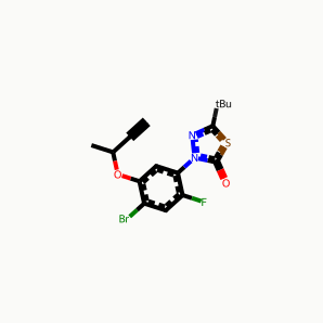 C#CC(C)Oc1cc(-n2nc(C(C)(C)C)sc2=O)c(F)cc1Br